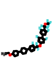 CCOC1CCC(C2CCC(c3ccc(C(F)(F)Oc4cc(F)c(-c5cc(F)c(C(F)(F)OC(F)(F)F)c(F)c5)c(F)c4)c(F)c3)CC2)CC1